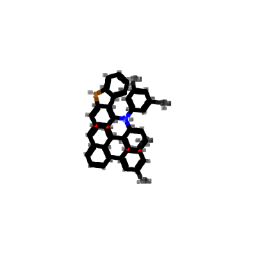 CC(C)(C)c1cc(-c2cccc3cccc(-c4ccccc4N(c4cc(C(C)(C)C)cc(C(C)(C)C)c4)c4cccc5sc6ccccc6c45)c23)cc(C(C)(C)C)c1